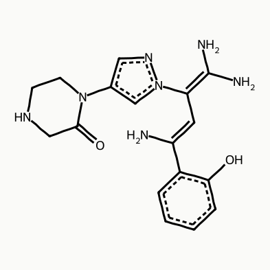 NC(N)=C(/C=C(\N)c1ccccc1O)n1cc(N2CCNCC2=O)cn1